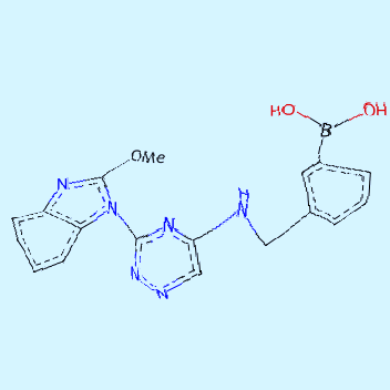 COc1nc2ccccc2n1-c1nncc(NCc2cccc(B(O)O)c2)n1